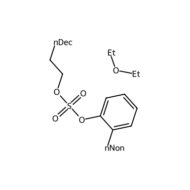 CCCCCCCCCCCCOS(=O)(=O)Oc1ccccc1CCCCCCCCC.CCOCC